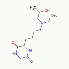 CCCCCCCCCCCN(CCCCC1NC(=O)CNC1=O)CC(C)O